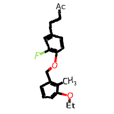 CCOc1cccc(COc2ccc(CCC(C)=O)cc2F)c1C